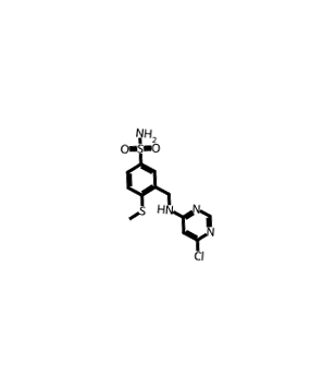 CSc1ccc(S(N)(=O)=O)cc1CNc1cc(Cl)ncn1